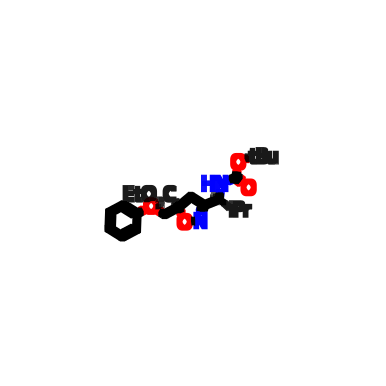 CCOC(=O)C1(COc2ccccc2)CC([C@@H](NC(=O)OC(C)(C)C)C(C)C)=NO1